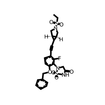 CCS(=O)(=O)N1C[C@@H]2C(C#Cc3ccc(OCc4ccccc4)c(N4CC(=O)NS4(=O)=O)c3F)[C@@H]2C1